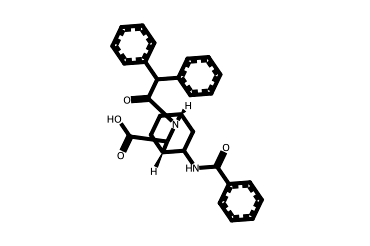 O=C(NC1C[C@H]2CC[C@@H]1C(C(=O)O)N2C(=O)C(c1ccccc1)c1ccccc1)c1ccccc1